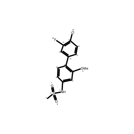 COc1cc(NS(C)(=O)=O)ccc1-c1ccc(Cl)c(F)c1